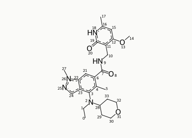 CCN(c1c(C)c(C(=O)NCc2c(OC)cc(C)[nH]c2=O)cc2c1cnn2C)C1CCOCC1